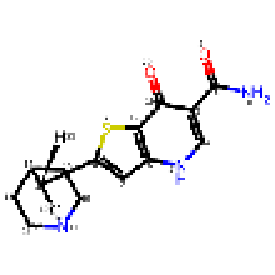 NC(=O)c1c[nH]c2cc([C@@H]3CN4CCC3CC4)sc2c1=O